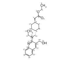 CCOC(=O)C[C@H]1CC[C@H](CN(CC)c2nc3ccccc3cc2CO)CC1